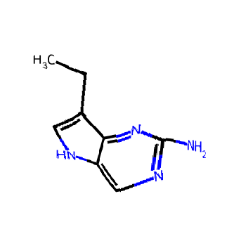 CCc1c[nH]c2cnc(N)nc12